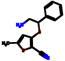 Cc1cc(SC(CN)c2ccccc2)c(C#N)s1